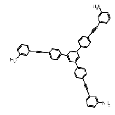 Nc1cccc(C#Cc2ccc(-c3cc(-c4ccc(C#Cc5cccc(N)c5)cc4)cc(-c4ccc(C#Cc5cccc(N)c5)cc4)c3)cc2)c1